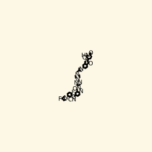 N#Cc1c(N2CC[C@@H](F)C2)ccc(F)c1Oc1ccc2ncn(-c3cnc(N4CCN(CC5CN(c6ccc7c(c6)CN(C6CCC(=O)NC6=O)C7=O)C5)CC4)nc3)c(=O)c2c1